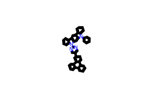 c1ccc(-n2c3ccccc3c3cc4c5ccccc5n(-c5ncc(-c6ccc7c8ccccc8c8ccccc8c7c6)cn5)c4cc32)cc1